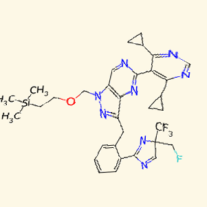 C[Si](C)(C)CCOCn1nc(Cc2ccccc2C2=NC(CF)(C(F)(F)F)C=N2)c2nc(-c3c(C4CC4)ncnc3C3CC3)ncc21